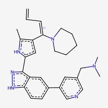 C=C/C=C(\c1cc(-c2n[nH]c3ccc(-c4cncc(CN(C)C)c4)cc23)[nH]c1C)N1CCCCC1